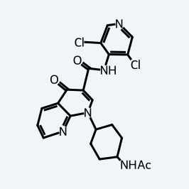 CC(=O)NC1CCC(n2cc(C(=O)Nc3c(Cl)cncc3Cl)c(=O)c3cccnc32)CC1